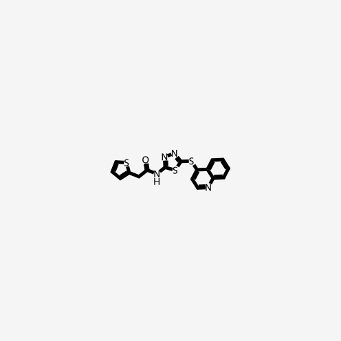 O=C(Cc1cccs1)Nc1nnc(Sc2ccnc3ccccc23)s1